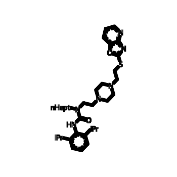 CCCCCCCN(CCN1CCN(CCSc2nc3ncccc3o2)CC1)C(=O)Nc1c(C(C)C)cccc1C(C)C